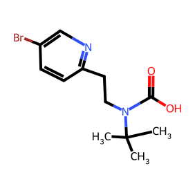 CC(C)(C)N(CCc1ccc(Br)cn1)C(=O)O